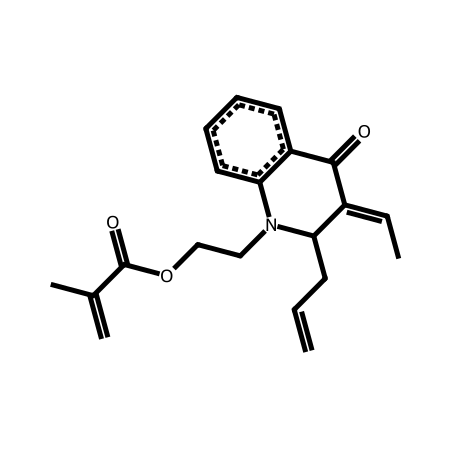 C=CCC1/C(=C\C)C(=O)c2ccccc2N1CCOC(=O)C(=C)C